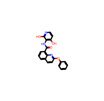 O=C(Nc1c(O)ccnc1O)c1cccc2ccc(Oc3ccccc3)nc12